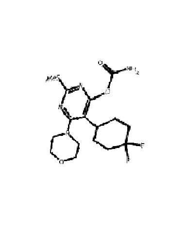 CSc1nc(OC(N)=O)c(C2CCC(F)(F)CC2)c(N2CCOCC2)n1